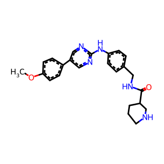 COc1ccc(-c2cnc(Nc3ccc(CNC(=O)C4CCCNC4)cc3)nc2)cc1